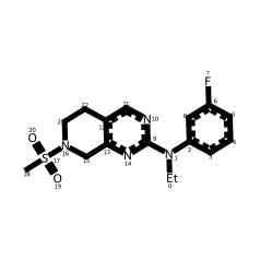 CCN(c1cccc(F)c1)c1ncc2c(n1)CN(S(C)(=O)=O)CC2